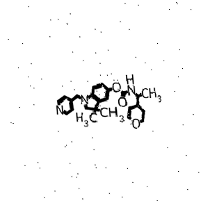 CC(NC(=O)Oc1ccc2c(c1)C(C)(C)CN2Cc1ccncc1)C1CCOCC1